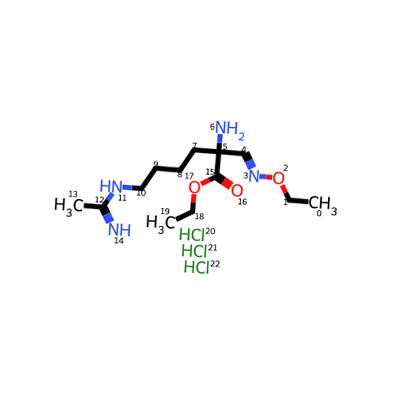 CCON=CC(N)(CCCCNC(C)=N)C(=O)OCC.Cl.Cl.Cl